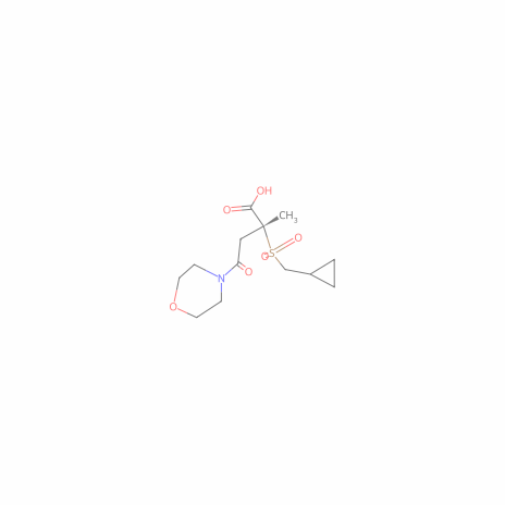 C[C@@](CC(=O)N1CCOCC1)(C(=O)O)S(=O)(=O)CC1CC1